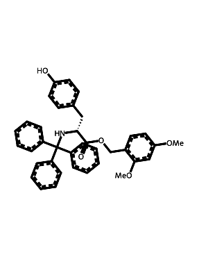 COc1ccc(COC(=O)[C@@H](Cc2ccc(O)cc2)NC(c2ccccc2)(c2ccccc2)c2ccccc2)c(OC)c1